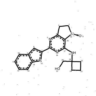 [O-][S@+]1CCc2nc(-c3cc4ccccc4s3)nc(NC3(CO)CCC3)c21